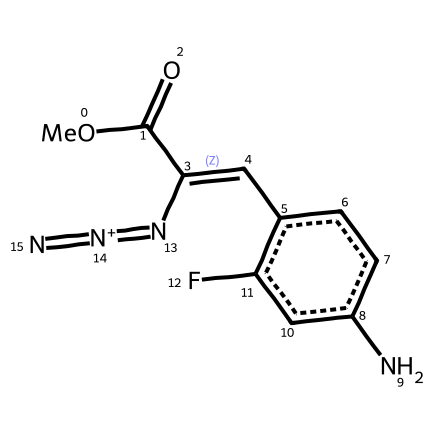 COC(=O)/C(=C/c1ccc(N)cc1F)N=[N+]=[N-]